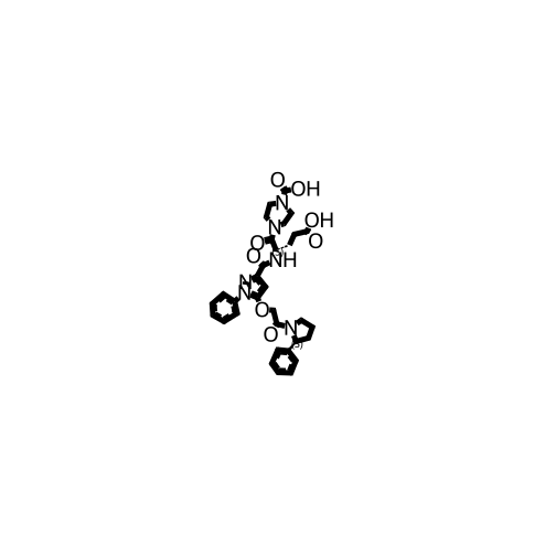 O=C(O)CC[C@H](NC(=O)c1cc(OCC(=O)N2CCC[C@H]2c2ccccc2)n(-c2ccccc2)n1)C(=O)N1CCN(C(=O)O)CC1